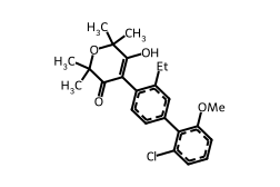 CCc1cc(-c2c(Cl)cccc2OC)ccc1C1=C(O)C(C)(C)OC(C)(C)C1=O